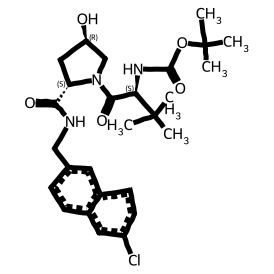 CC(C)(C)OC(=O)N[C@H](C(=O)N1C[C@H](O)C[C@H]1C(=O)NCc1ccc2cc(Cl)ccc2c1)C(C)(C)C